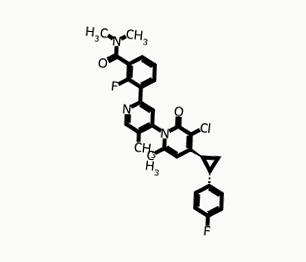 Cc1cnc(-c2cccc(C(=O)N(C)C)c2F)cc1-n1c(C)cc([C@H]2C[C@@H]2c2ccc(F)cc2)c(Cl)c1=O